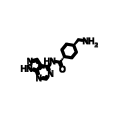 NC[C@H]1CC[C@H](C(=O)Nc2ncnc3[nH]ncc23)CC1